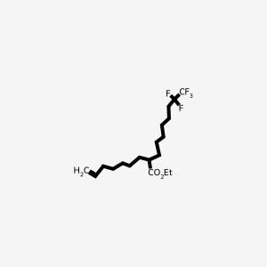 C=CCCCCCC(CCCCCCC(F)(F)C(F)(F)F)C(=O)OCC